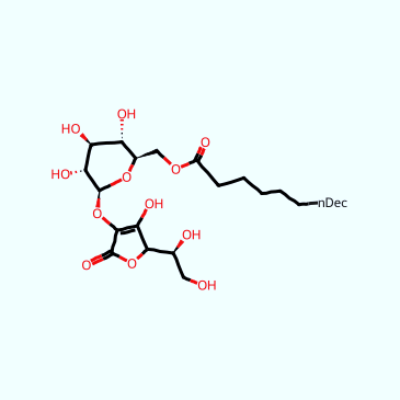 CCCCCCCCCCCCCCCC(=O)OC[C@H]1O[C@@H](OC2=C(O)C([C@@H](O)CO)OC2=O)[C@H](O)[C@@H](O)[C@@H]1O